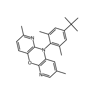 Cc1cnc2c(c1)N(c1c(C)cc(C(C)(C)C)cc1C)c1nc(C)ccc1O2